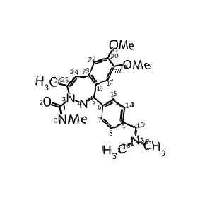 CNC(=O)N1N=C(c2ccc(CN(C)C)cc2)c2cc(OC)c(OC)cc2C=C1C